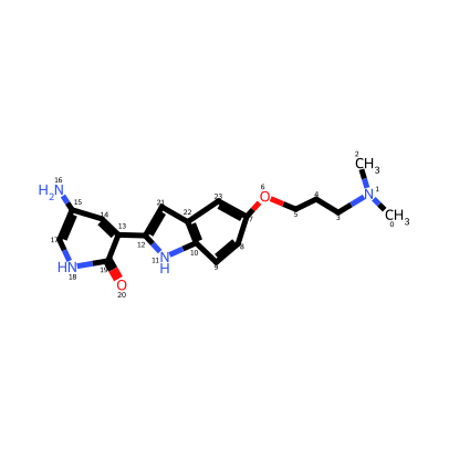 CN(C)CCCOc1ccc2[nH]c(-c3cc(N)c[nH]c3=O)cc2c1